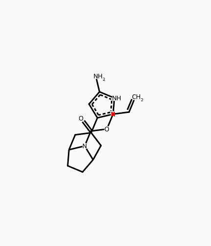 C=CCOC(=O)N1C2CCC1CC(c1cc(N)[nH]n1)C2